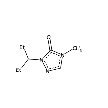 CCC(CC)n1ncn(C)c1=O